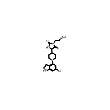 COCCN1C(=O)NC(C2CCN(c3cc(Cl)cc4[nH]ncc34)CC2)C1=O